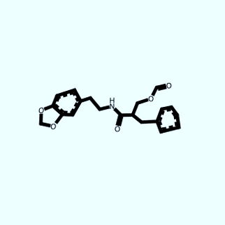 O=COCC(Cc1ccccc1)C(=O)NCCc1ccc2c(c1)OCO2